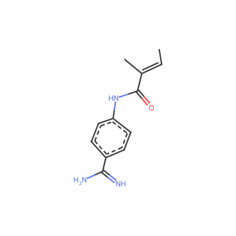 C/C=C(\C)C(=O)Nc1ccc(C(=N)N)cc1